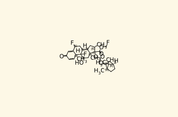 C[C@@H]1C[C@H]2[C@@H]3C[C@H](F)C4=CC(=O)C=C[C@]4(C)C3(F)[C@@H](O)C[C@]2(C)[C@]1(OC(=O)O[C@H]1C[C@H]2CC[C@]1(C)C2(C)C)C(=O)OCF